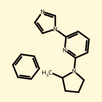 CC1CCCN1c1cccc(-n2ccnc2)n1.c1ccccc1